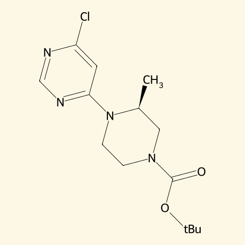 C[C@H]1CN(C(=O)OC(C)(C)C)CCN1c1cc(Cl)ncn1